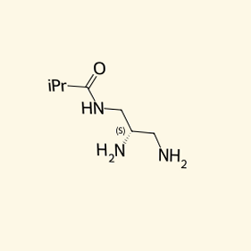 CC(C)C(=O)NC[C@@H](N)CN